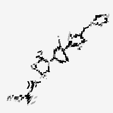 COC(=O)NC[C@H]1CN(c2ccc(-c3nc(Cn4cncn4)cs3)c(F)c2)C(=O)O1